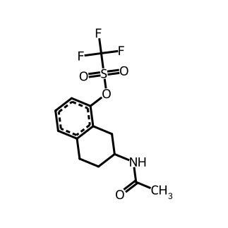 CC(=O)NC1CCc2cccc(OS(=O)(=O)C(F)(F)F)c2C1